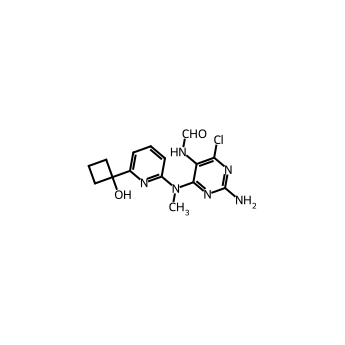 CN(c1cccc(C2(O)CCC2)n1)c1nc(N)nc(Cl)c1NC=O